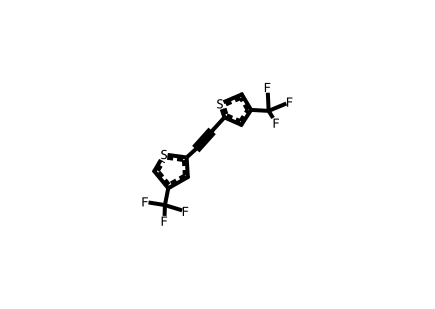 FC(F)(F)c1csc(C#Cc2cc(C(F)(F)F)cs2)c1